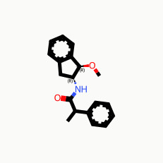 CO[C@@H]1c2ccccc2C[C@H]1NC(=O)C(C)c1ccccc1